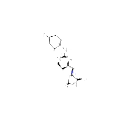 N[C@H]1CC[C@@H](Nc2nccc(/C=C3\SC(=O)NC3=O)n2)CC1